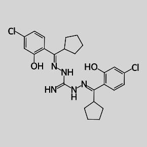 N=C(N/N=C(/c1ccc(Cl)cc1O)C1CCCC1)N/N=C(/c1ccc(Cl)cc1O)C1CCCC1